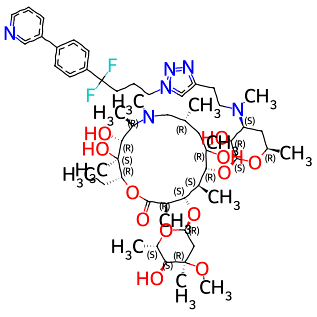 CC[C@H]1OC(=O)[C@H](C)[C@@H](O[C@H]2C[C@@](C)(OC)[C@@H](O)[C@H](C)O2)[C@H](C)[C@@H](O[C@@H]2O[C@H](C)C[C@H](N(C)CCc3cn(CCCC(F)(F)c4ccc(-c5cccnc5)cc4)nn3)[C@H]2O)[C@](C)(O)C[C@@H](C)CN(C)[C@H](C)[C@@H](O)[C@]1(C)O